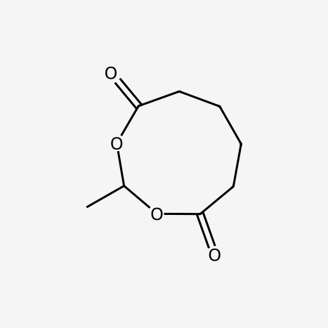 CC1OC(=O)CCCCC(=O)O1